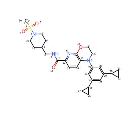 CS(=O)(=O)N1CCC(CNC(=O)c2ccc3c(n2)OCCN3c2cc(C3CC3)cc(C3CC3)c2)CC1